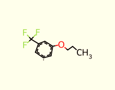 CCCOc1c[c]cc(C(F)(F)F)c1